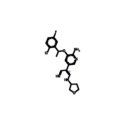 CC(Oc1cc(/C(C=N)=C/NC2CCOC2)cnc1N)c1cc(F)ccc1Cl